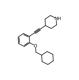 C(#CC1CCNCC1)c1ccccc1OCC1CCCCC1